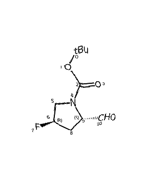 CC(C)(C)OC(=O)N1C[C@H](F)C[C@H]1C=O